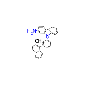 CC1=C(c2cccc(N3C4=CC=CCC4c4ccc(N)cc43)c2)C2C=CC=CC2C=C1